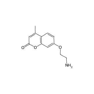 Cc1cc(=O)oc2cc(OCCN)ccc12